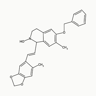 Cc1cc2c(cc1/C=C/C1c3cc(C)c(OCc4ccccc4)cc3CCN1O)OCO2